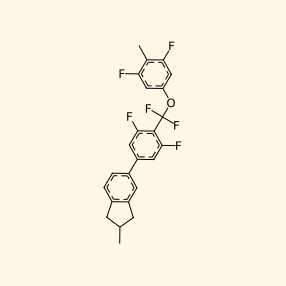 Cc1c(F)cc(OC(F)(F)c2c(F)cc(-c3ccc4c(c3)CC(C)C4)cc2F)cc1F